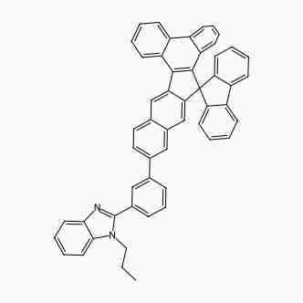 CCCn1c(-c2cccc(-c3ccc4cc5c(cc4c3)C3(c4ccccc4-c4ccccc43)c3c-5c4ccccc4c4ccccc34)c2)nc2ccccc21